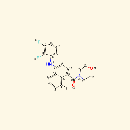 Cc1cccc2c(Nc3cccc(F)c3F)ccc(C(=O)N3CCOCC3)c12